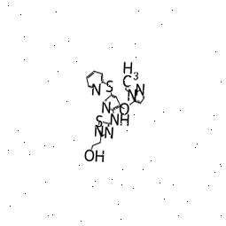 CCn1nccc1Oc1cc(Sc2ccccn2)cnc1Nc1nc(CCO)ns1